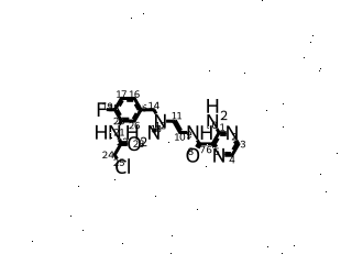 Nc1nccnc1C(=O)N/C=C/N(N)Cc1ccc(F)c(NC(=O)CCl)c1